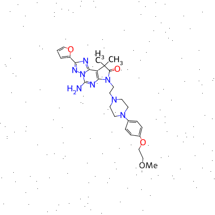 COCCOc1ccc(N2CCN(CCN3C(=O)C(C)(C)c4c3nc(N)n3nc(-c5ccco5)nc43)CC2)cc1